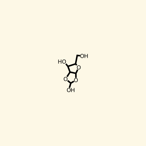 OCC1OC2OC(O)OC2C1O